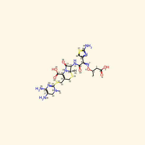 CC(CC(=O)O)O/N=C(\C(=O)NC1C(=O)N2C(C(=O)O)=C(CSC3=NC(N)=C(N)CN3C)CS[C@@H]12)c1csc(N)n1